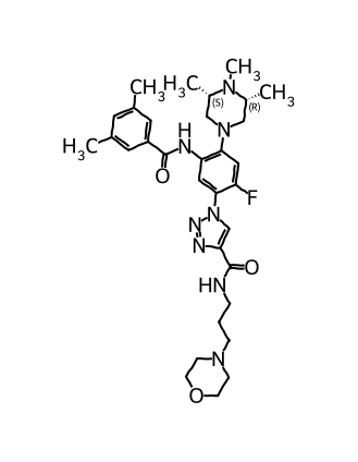 Cc1cc(C)cc(C(=O)Nc2cc(-n3cc(C(=O)NCCCN4CCOCC4)nn3)c(F)cc2N2C[C@@H](C)N(C)[C@@H](C)C2)c1